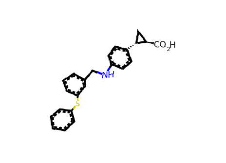 O=C(O)[C@@H]1C[C@H]1c1ccc(NCc2cccc(Sc3ccccc3)c2)cc1